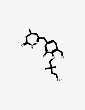 CC1CC(=O)NP=C(CC2=CCC(CCl)=C(OCC(C)(C)CCO)C(F)=C2)C1